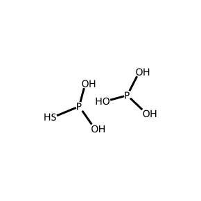 OP(O)O.OP(O)S